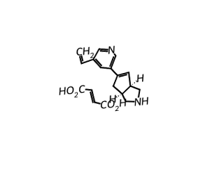 C=Cc1cncc(C2=C[C@H]3CNC[C@H]3C2)c1.O=C(O)C=CC(=O)O